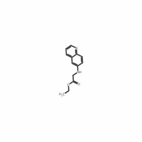 CCOC(=O)CNc1ccc2ncccc2c1